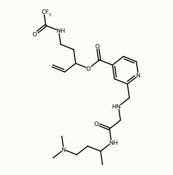 C=CC(CCNC(=O)C(F)(F)F)OC(=O)c1ccnc(CNCC(=O)NC(C)CCN(C)C)c1